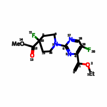 C=C(OCC)c1nc(N2CCC(F)(C(=O)OC)CC2)ncc1F